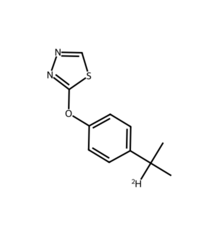 [2H]C(C)(C)c1ccc(Oc2nncs2)cc1